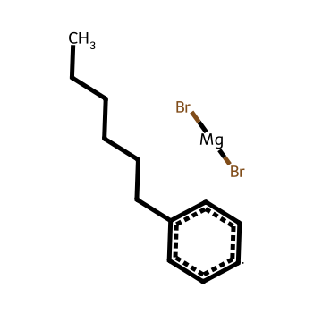 CCCCCCc1cc[c]cc1.[Br][Mg][Br]